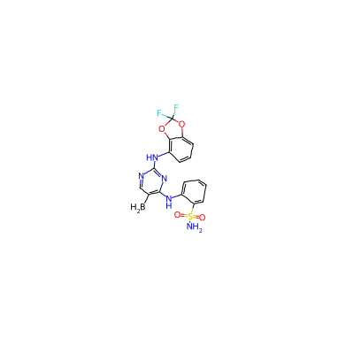 Bc1cnc(Nc2cccc3c2OC(F)(F)O3)nc1Nc1ccccc1S(N)(=O)=O